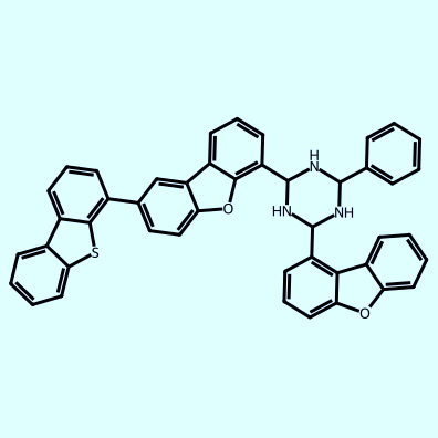 c1ccc(C2NC(c3cccc4c3oc3ccc(-c5cccc6c5sc5ccccc56)cc34)NC(c3cccc4oc5ccccc5c34)N2)cc1